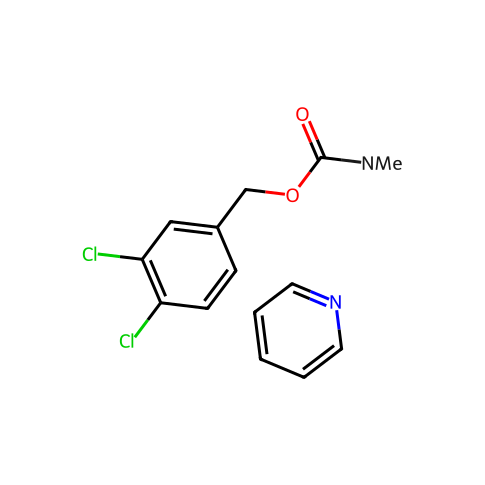 CNC(=O)OCc1ccc(Cl)c(Cl)c1.c1ccncc1